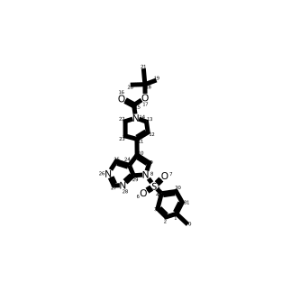 Cc1ccc(S(=O)(=O)n2cc(C3=CCN(C(=O)OC(C)(C)C)CC3)c3cncnc32)cc1